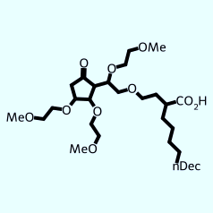 CCCCCCCCCCCCCCC(CCOCC(OCCOC)C1C(=O)CC(OCCOC)C1OCCOC)C(=O)O